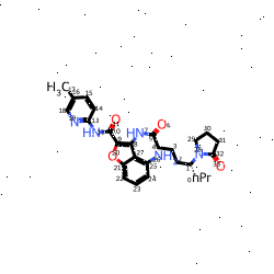 CCC[C@H](CCCC(=O)Nc1c(C(=O)Nc2ccc(C)cn2)oc2cccc(N)c12)N1CCCC1=O